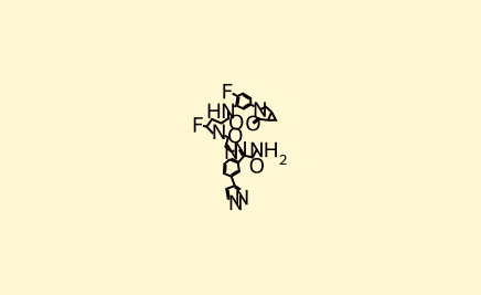 NC(=O)c1nn(CC(=O)N2CC(F)CC2C(=O)Nc2cc(N3CC4CC4C3=O)ccc2F)c2ccc(-c3ccnnc3)cc12